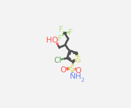 NS(=O)(=O)c1scc(C(CO)CC(F)(F)F)c1Cl